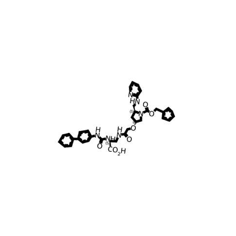 O=C(CO[C@@H]1C[C@@H](CNc2ccccn2)N(C(=O)OCc2ccccc2)C1)NC[C@H](NC(=O)Nc1ccc(-c2ccccc2)cc1)C(=O)O